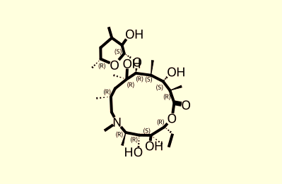 CC[C@H]1OC(=O)[C@H](C)[C@@H](O)[C@H](C)[C@@H](O[C@@H]2O[C@H](C)CC(C)C2O)[C@](C)(O)C[C@@H](C)CN(C)[C@H](C)[C@@H](O)[C@]1(C)O